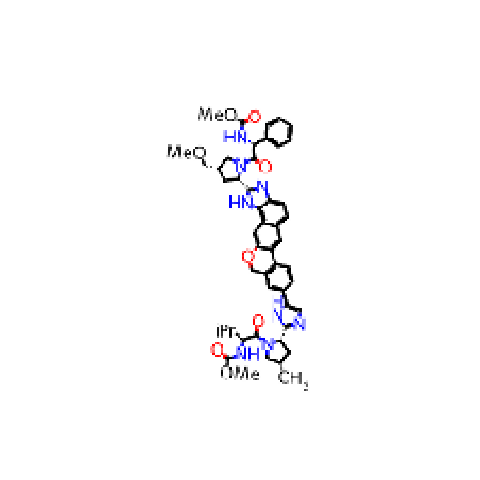 COC[C@H]1C[C@@H](c2nc3ccc4cc5c(cc4c3[nH]2)OCc2cc(-c3cnc([C@@H]4C[C@H](C)CN4C(=O)[C@@H](NC(=O)OC)C(C)C)[nH]3)ccc2-5)N(C(=O)[C@H](NC(=O)OC)c2ccccc2)C1